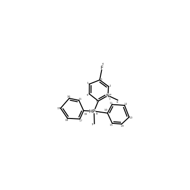 C[n+]1cc(F)ccc1[PH](C)(c1ccccc1)c1ccccc1